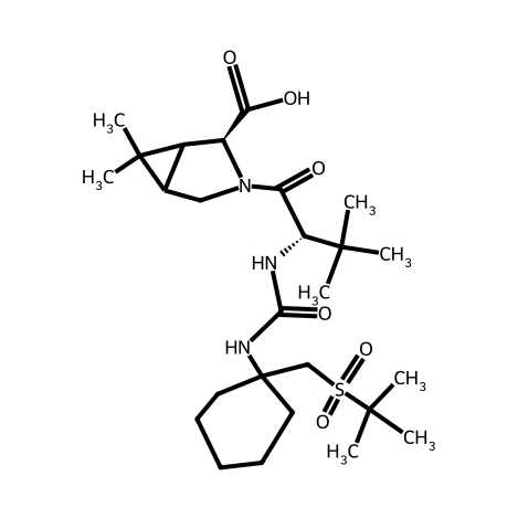 CC1(C)C2CN(C(=O)[C@@H](NC(=O)NC3(CS(=O)(=O)C(C)(C)C)CCCCC3)C(C)(C)C)[C@H](C(=O)O)C21